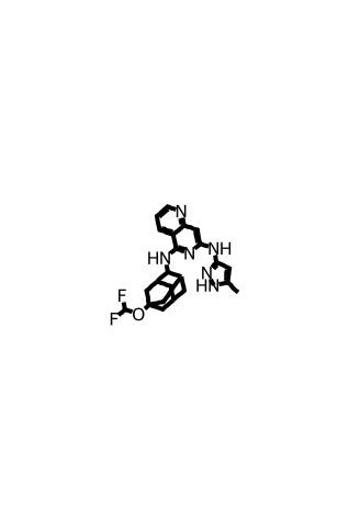 Cc1cc(Nc2cc3ncccc3c(NC3C4CC5CC3CC(OC(F)F)(C5)C4)n2)n[nH]1